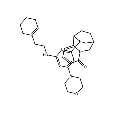 O=c1cccc2n1CC1CCC2N(c2nc(NCCC3=CCCCC3)nc(N3CCOCC3)n2)C1